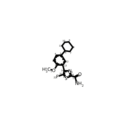 COc1ccc(C2CCCCC2)cc1-c1nc(C(N)=O)sc1F